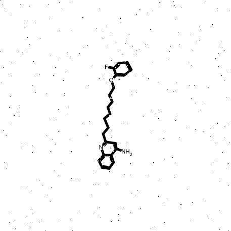 Nc1cc(CCCCCCCCOc2ccccc2F)nc2ccccc12